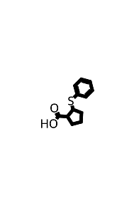 O=C(O)C1CCCC1Sc1ccccc1